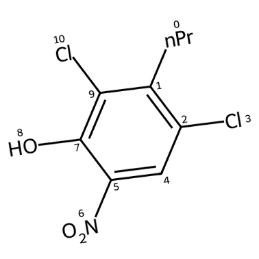 CCCc1c(Cl)cc([N+](=O)[O-])c(O)c1Cl